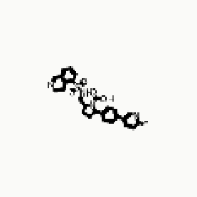 O=C(O)N1C(CNS(=O)(=O)c2cccc3cnccc23)CCC1c1ccc(-c2ccc(F)nc2)cc1